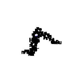 CCCCOCCOc1ccc(-c2cc3c4c(c2)CCCN4CCC/C(C(=O)Nc2ccc([S@@+]([O-])Cc4cncn4CCC)cc2)=C\3)cc1